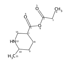 CCC(=O)OC(=O)C1CCC(C)NC1